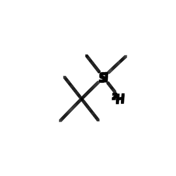 [2H][Si](C)(C)C(C)(C)C